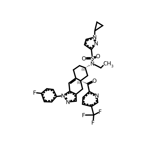 CCN([C@H]1CCC2=Cc3c(cnn3-c3ccc(F)cc3)C[C@]2(C(=O)c2ccc(C(F)(F)F)cn2)C1)S(=O)(=O)c1ccn(C2CC2)n1